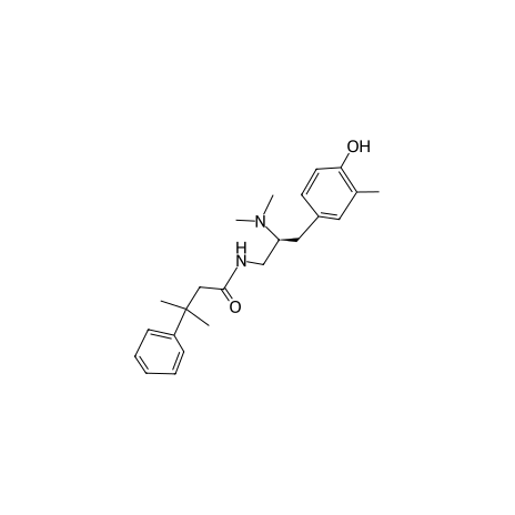 Cc1cc(C[C@@H](CNC(=O)CC(C)(C)c2ccccc2)N(C)C)ccc1O